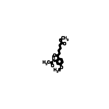 COC(=O)CCCCC(=O)c1ccc(OC)cc1NC(C)=O